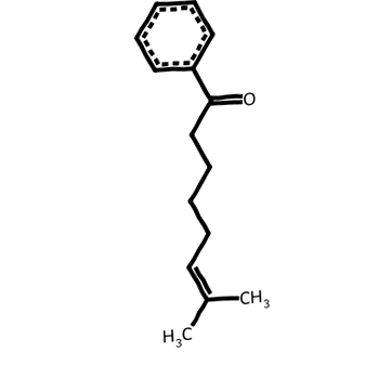 CC(C)=CCCCCC(=O)c1ccccc1